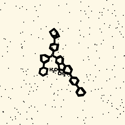 CC1(C)c2cc(-c3ccc(-c4ccccc4)cc3)ccc2-c2ccc(N(c3ccc(C4CC5CCC4C5)cc3)c3cccc(C4CCCCC4)c3)cc21